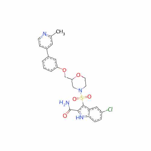 Cc1cc(-c2cccc(OCC3CN(S(=O)(=O)c4c(C(N)=O)[nH]c5ccc(Cl)cc45)CCO3)c2)ccn1